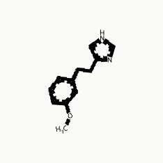 COc1cccc(CCc2c[nH]cn2)c1